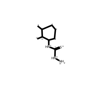 CC1CCCC(NC(=S)NN)C1C